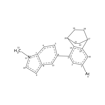 CC(=O)c1cc(-c2ccc3c(ccn3C)c2)c2c(c1)C1CCC2CC1